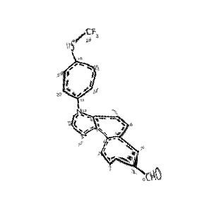 O=Cc1ccc2c(ccc3c2ncn3-c2ccc(SC(F)(F)F)cc2)c1